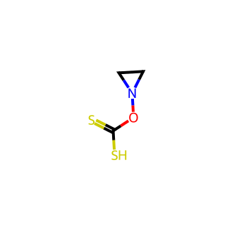 S=C(S)ON1CC1